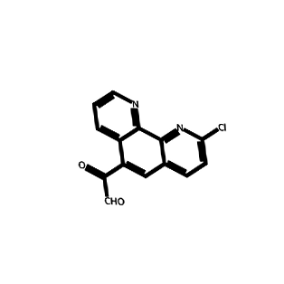 O=CC(=O)c1cc2ccc(Cl)nc2c2ncccc12